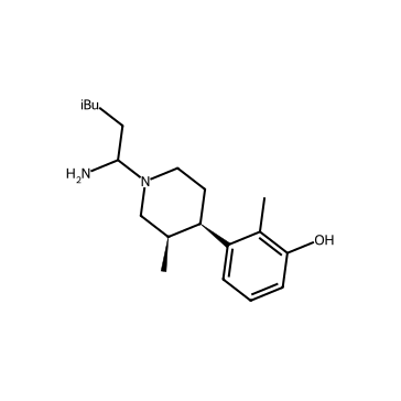 CCC(C)CC(N)N1CC[C@@H](c2cccc(O)c2C)[C@@H](C)C1